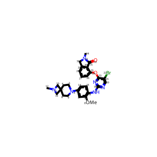 COc1cc(N2CCC3(CC2)CN(C)C3)ccc1Nc1ncc(Br)c(Oc2cccc3c2C(=O)N(C)C3)n1